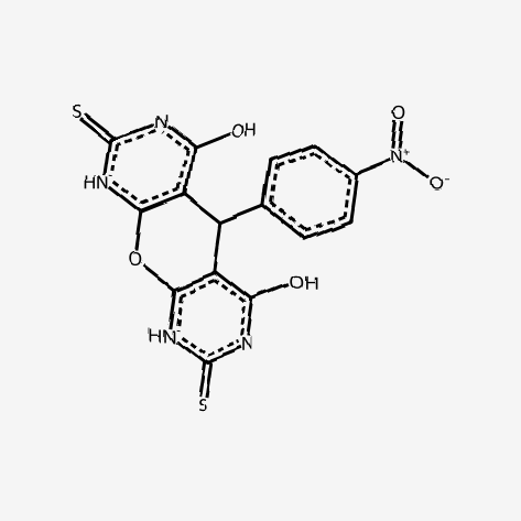 O=[N+]([O-])c1ccc(C2c3c(O)nc(=S)[nH]c3Oc3[nH]c(=S)nc(O)c32)cc1